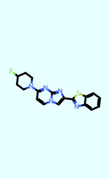 FC1CCN(c2ccn3cc(-c4nc5ccccc5s4)nc3n2)CC1